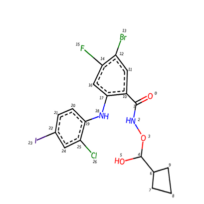 O=C(NOC(O)C1CCC1)c1cc(Br)c(F)cc1Nc1ccc(I)cc1Cl